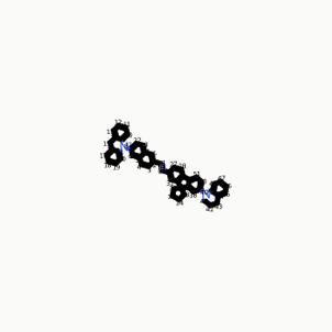 C(=C\c1ccc2cc(N3c4ccccc4Cc4ccccc43)ccc2c1)/c1ccc2c(c1)C1(CCCC1)c1cc(N3CCCc4ccccc43)ccc1-2